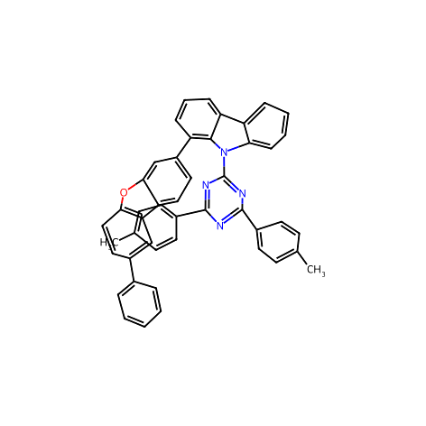 Cc1ccc(-c2nc(-c3ccc(C)cc3)nc(-n3c4ccccc4c4cccc(-c5ccc6c(c5)oc5ccc(-c7ccccc7)cc56)c43)n2)cc1